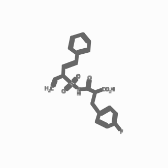 C=CC(C=Cc1ccccc1)S(=O)(=O)NC(=O)C(Cc1ccc(F)cc1)C(=O)O